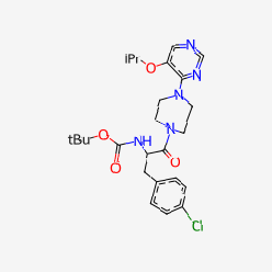 CC(C)Oc1cncnc1N1CCN(C(=O)C(Cc2ccc(Cl)cc2)NC(=O)OC(C)(C)C)CC1